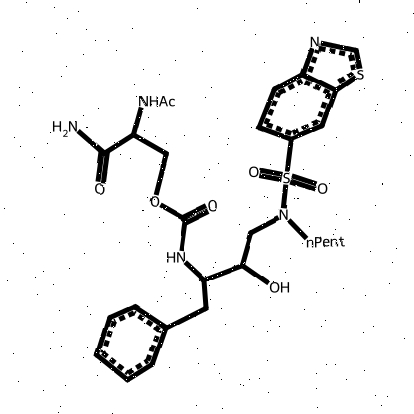 CCCCCN(CC(O)C(Cc1ccccc1)NC(=O)OCC(NC(C)=O)C(N)=O)S(=O)(=O)c1ccc2ncsc2c1